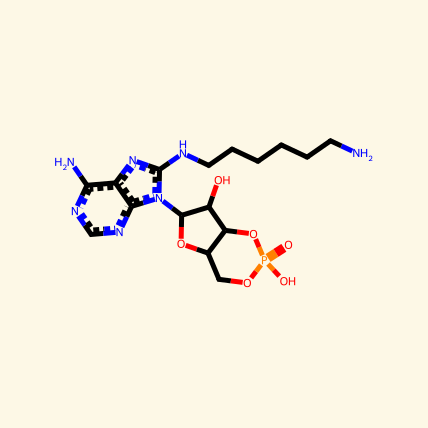 NCCCCCCNc1nc2c(N)ncnc2n1C1OC2COP(=O)(O)OC2C1O